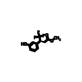 COC(=O)C[C@H](c1cccc(O)c1)C(F)(F)F